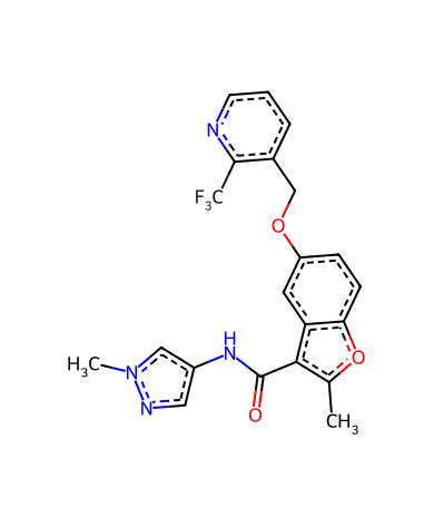 Cc1oc2ccc(OCc3cccnc3C(F)(F)F)cc2c1C(=O)Nc1cnn(C)c1